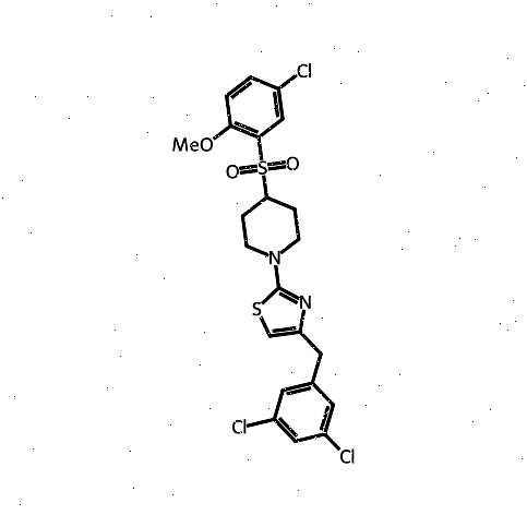 COc1ccc(Cl)cc1S(=O)(=O)C1CCN(c2nc(Cc3cc(Cl)cc(Cl)c3)cs2)CC1